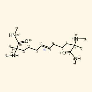 CNC(=O)C(C)(CCC/C=C/CCCC(C)(NC)C(=O)NC)NC